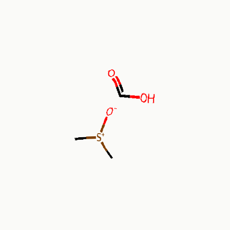 C[S+](C)[O-].O=CO